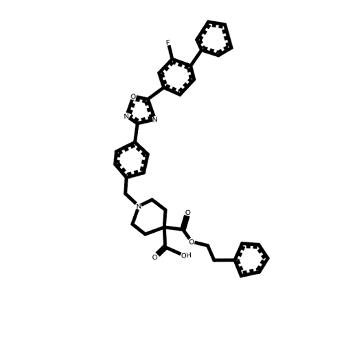 O=C(O)C1(C(=O)OCCc2ccccc2)CCN(Cc2ccc(-c3noc(-c4ccc(-c5ccccc5)c(F)c4)n3)cc2)CC1